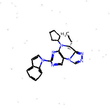 CC[C@@H]1c2nncn2-c2cnc(-n3ccc4ccccc43)nc2N1C1CCCC1